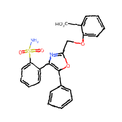 NS(=O)(=O)c1ccccc1-c1nc(COc2ccccc2C(=O)O)oc1-c1ccccc1